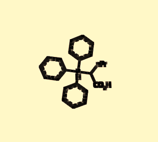 CCCC(C(=O)O)[PH](c1ccccc1)(c1ccccc1)c1ccccc1